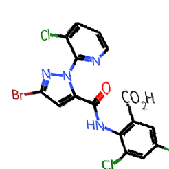 O=C(O)c1cc(Cl)cc(Cl)c1NC(=O)c1cc(Br)nn1-c1ncccc1Cl